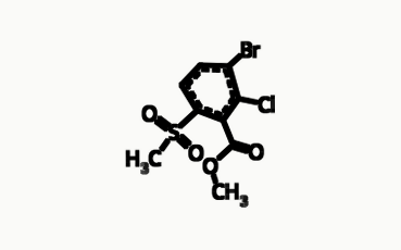 COC(=O)c1c(S(C)(=O)=O)ccc(Br)c1Cl